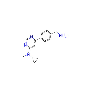 CN(c1cc(-c2ccc(CN)cc2)ncn1)C1CC1